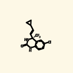 O=C1Nc2ccc(Cl)cc2[C@@](/C=C/C2CC2)(C(F)(F)F)N1